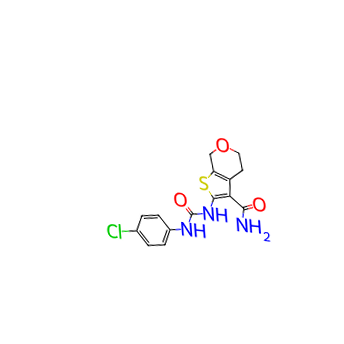 NC(=O)c1c(NC(=O)Nc2ccc(Cl)cc2)sc2c1CCOC2